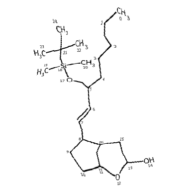 CCCCCC(C=CC1CCC2OC(O)CC12)O[Si](C)(C)C(C)(C)C